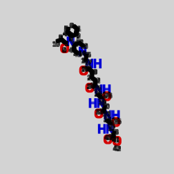 C/C=C\C(=C/C)N(C(=O)CC)C1CCN(CCNC(=O)CCCC(=O)NCC(=O)NCC(=O)NCC(=O)NCC(=O)OC)CC1